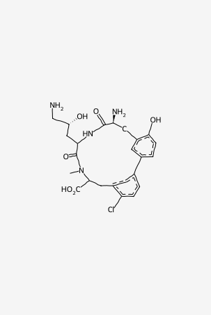 CN1C(=O)C(C[C@@H](O)CN)NC(=O)[C@@H](N)Cc2cc(ccc2O)-c2ccc(Cl)c(c2)CC1C(=O)O